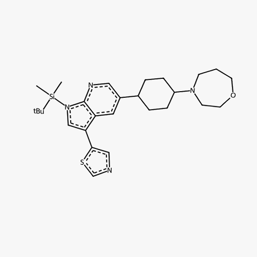 CC(C)(C)[Si](C)(C)n1cc(-c2cncs2)c2cc(C3CCC(N4CCCOCC4)CC3)cnc21